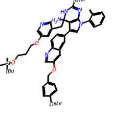 CNC1=Nc2c(c(-c3ccc4ncc(OCc5ccc(OC)cc5)cc4c3)cn2-c2ccccc2C)C(N)(Cc2cncc(OCCCO[Si](C)(C)C(C)(C)C)c2)N1